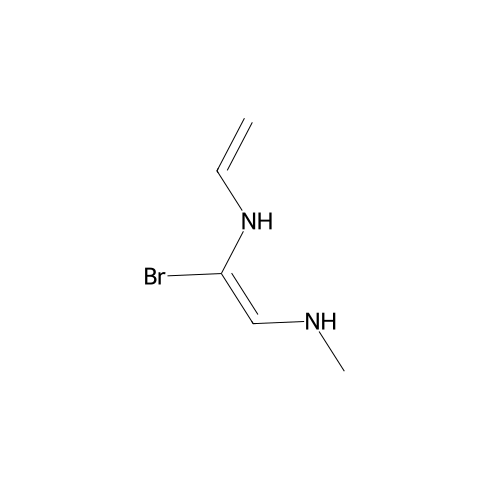 C=CN/C(Br)=C\NC